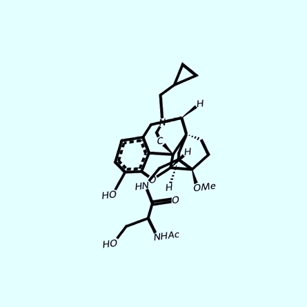 CO[C@]12CC[C@@]3(C[C@@H]1CNC(=O)C(CO)NC(C)=O)[C@H]1Cc4ccc(O)c5c4[C@@]3(CCN1CC1CC1)[C@H]2O5